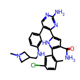 Cc1ccc(Cl)cc1-c1[nH]c(-c2nc(N)ncc2-c2cccc(NCC3CN(C)C3)c2)cc1C(N)=O